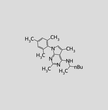 CCCCC(C)Nc1nc(C)nc2c1c(C)cn2-c1c(C)cc(C)cc1C